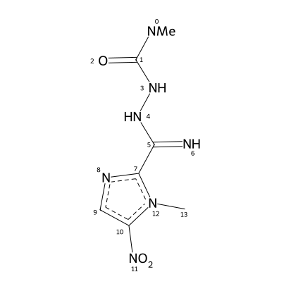 CNC(=O)NNC(=N)c1ncc([N+](=O)[O-])n1C